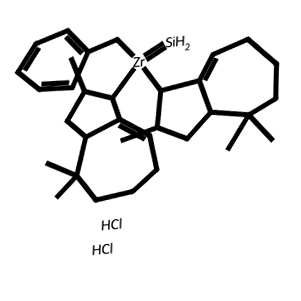 CC1CC2C(=CCCCC2(C)C)[CH]1[Zr](=[SiH2])([CH2]c1ccccc1)[CH]1C2=CCCCC(C)(C)C2CC1C.Cl.Cl